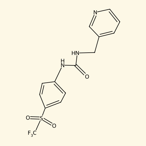 O=C(NCc1cccnc1)Nc1ccc(S(=O)(=O)C(F)(F)F)cc1